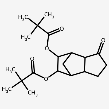 CC(C)(C)C(=O)OC1C2CC(C1OC(=O)C(C)(C)C)C1C(=O)CCC21